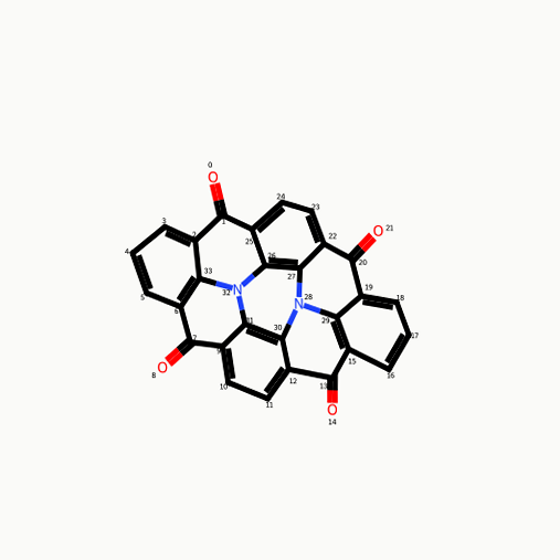 O=c1c2cccc3c(=O)c4ccc5c(=O)c6cccc7c(=O)c8ccc1c1c8n(c76)c5c4n1c23